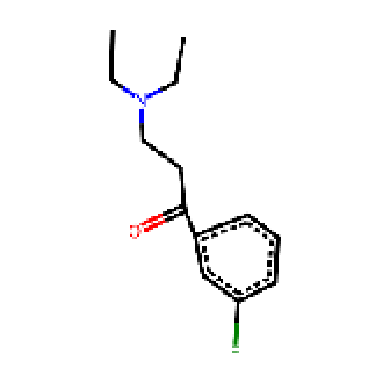 CCN(CC)CCC(=O)c1cccc(F)c1